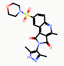 Cc1nc2ccc(S(=O)(=O)N3CCOCC3)cc2c2c1C(=O)N(c1c(C)n[nH]c1C)C2=O